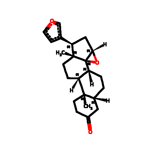 C[C@]12CCC(=O)C[C@H]1CC[C@@H]1[C@@H]2CC[C@]2(C)[C@@H](c3ccoc3)C[C@H]3O[C@]132